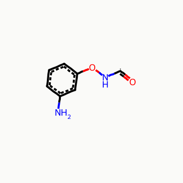 Nc1cccc(ON[C]=O)c1